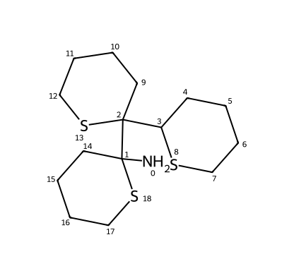 NC1(C2(C3CCCCS3)CCCCS2)CCCCS1